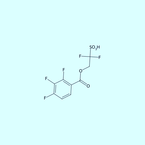 O=C(OCC(F)(F)S(=O)(=O)O)c1ccc(F)c(F)c1F